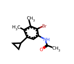 CC(=O)Nc1cc(C2CC2)c(C)c(C)c1Br